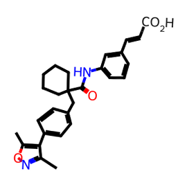 Cc1noc(C)c1-c1ccc(CC2(C(=O)Nc3cccc(/C=C/C(=O)O)c3)CCCCC2)cc1